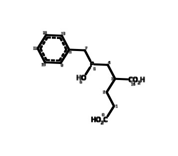 O=C(O)CCC(CP(O)Cc1ccccc1)C(=O)O